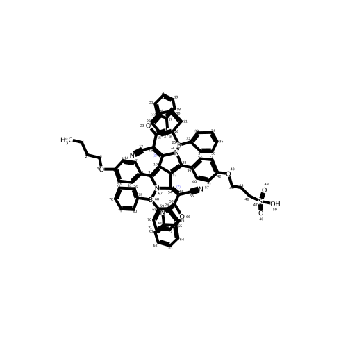 CCCCOc1ccc(-c2c3/c(=C(\C#N)c4nc5ccccc5o4)n(B(c4ccccc4)c4ccccc4)c(-c4ccc(OCCCS(=O)(=O)O)cc4)c3/c(=C(\C#N)c3nc4ccccc4o3)n2B(c2ccccc2)c2ccccc2)cc1